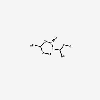 CCCC(OCC)O[N+](=O)OC(CCC)OCC